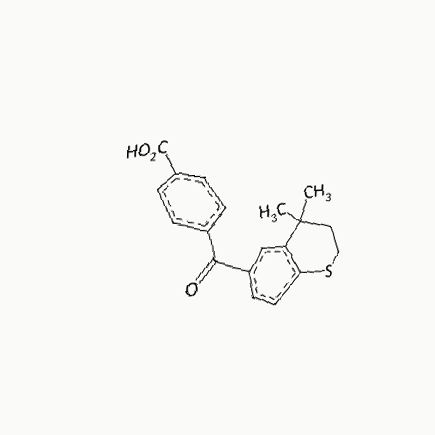 CC1(C)CCSc2ccc(C(=O)c3ccc(C(=O)O)cc3)cc21